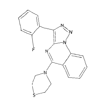 Fc1ccccc1-c1nnn2c1nc(N1CCSCC1)c1ccccc12